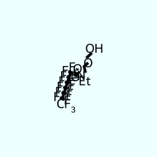 CCN(CCOCCO)S(=O)(=O)C(F)(F)C(F)(F)C(F)(F)C(F)(F)C(F)(F)C(F)(F)C(F)(F)F